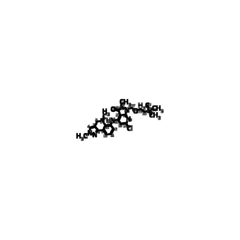 CN1Cc2cn(C)nc2-c2cccc(Nc3cc(Cl)nc4c3c(=O)n(C)n4COCC[Si](C)(C)C)c21